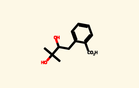 CC(C)(O)C(O)Cc1ccccc1C(=O)O